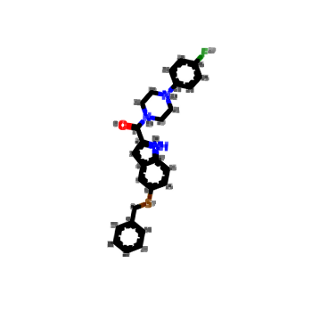 O=C(c1cc2cc(SCc3ccccc3)ccc2[nH]1)N1CCN(c2ccc(F)cc2)CC1